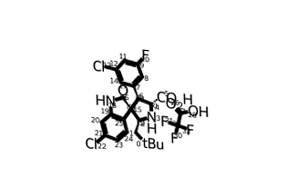 CC(C)(C)C[C@@H]1N[C@@H](C(=O)O)[C@H](c2cc(F)cc(Cl)c2)[C@]12C(=O)Nc1cc(Cl)ccc12.O=C(O)C(F)(F)F